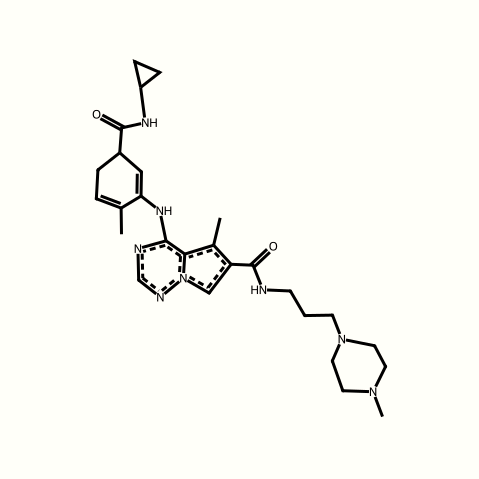 CC1=CCC(C(=O)NC2CC2)C=C1Nc1ncnn2cc(C(=O)NCCCN3CCN(C)CC3)c(C)c12